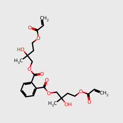 C=CC(=O)OCCC(C)(O)COC(=O)c1ccccc1C(=O)OCC(C)(O)CCOC(=O)C=C